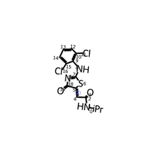 CC(C)NC(=O)/C=C1\SC(Nc2c(Cl)cccc2Cl)=NC1=O